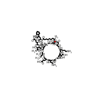 CCC(C)C1NC(=O)C(CCC(=O)O)NC(=O)C(CC(N)=O)NC(=O)CNC(=O)C(C(O)C(=O)O)NC(=O)C(CCCCN)NC(=O)C(CC(=O)O)NC(=O)C(C)NC(=O)CN(C)C(=O)C(NC(=O)C(NC(=O)C(CCC(=O)O)NC(=O)C(Cc2c[nH]c3ccccc23)NC(=O)CCCCCCC(C)C)C(O)C(N)=O)C(C)OC1=O